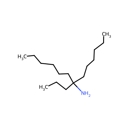 CCCCCCC(N)(CCC)CCCCCC